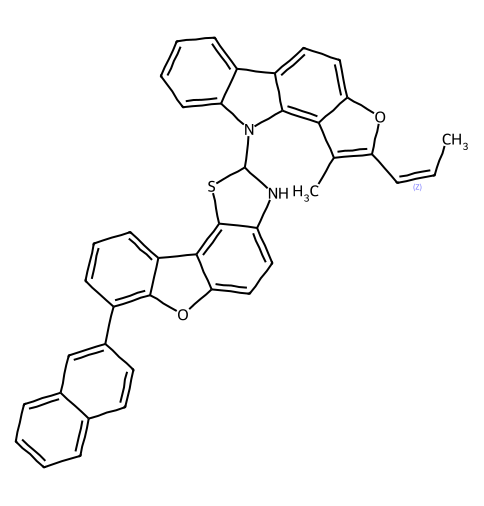 C/C=C\c1oc2ccc3c4ccccc4n(C4Nc5ccc6oc7c(-c8ccc9ccccc9c8)cccc7c6c5S4)c3c2c1C